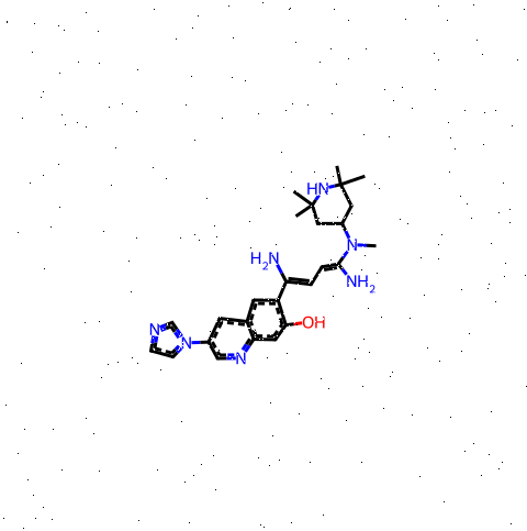 CN(/C(N)=C/C=C(\N)c1cc2cc(-n3ccnc3)cnc2cc1O)C1CC(C)(C)NC(C)(C)C1